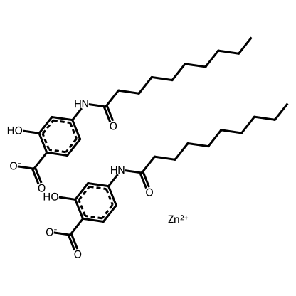 CCCCCCCCCC(=O)Nc1ccc(C(=O)[O-])c(O)c1.CCCCCCCCCC(=O)Nc1ccc(C(=O)[O-])c(O)c1.[Zn+2]